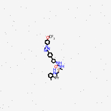 C/C(=C/SC(C)NC(=O)NC1CCC(c2ccc(-c3ncn(-c4ccc(OC(F)(F)F)cc4)n3)cc2)C1)Nc1cccc(C)c1C(C)C